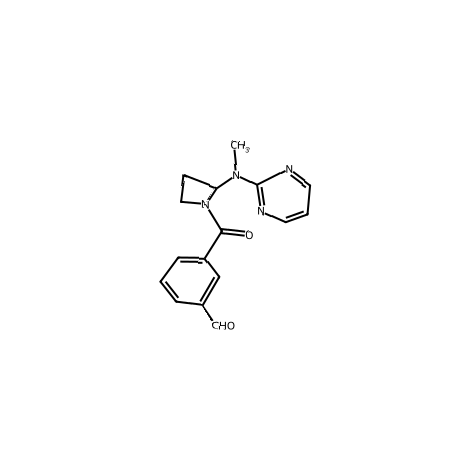 CN(c1ncccn1)C1CCN1C(=O)c1cccc(C=O)c1